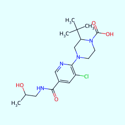 CC(O)CNC(=O)c1cnc(N2CCN(C(=O)O)C(C(C)(C)C)C2)c(Cl)c1